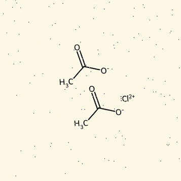 CC(=O)[O-].CC(=O)[O-].[Cl+2]